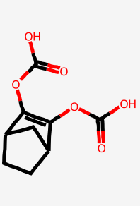 O=C(O)OC1=C(OC(=O)O)C2CCC1C2